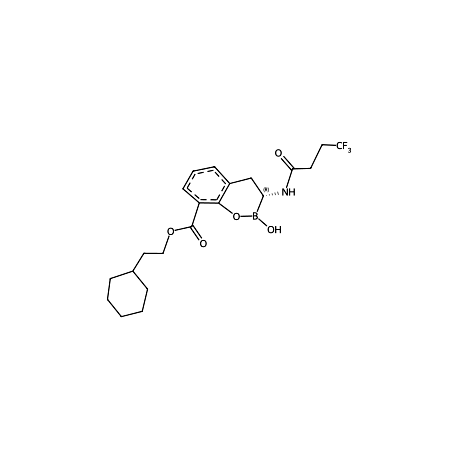 O=C(CCC(F)(F)F)N[C@H]1Cc2cccc(C(=O)OCCC3CCCCC3)c2OB1O